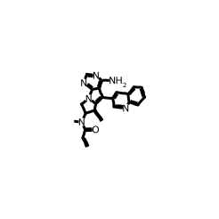 C=CC(=O)N(C)C1Cn2c(c(-c3cnc4ccccc4c3)c3c(N)ncnc32)C1=C